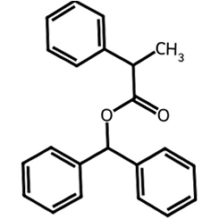 CC(C(=O)OC(c1ccccc1)c1ccccc1)c1ccccc1